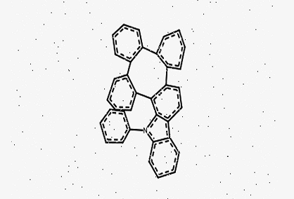 c1ccc(-n2c3ccccc3c3ccc4c(c32)-c2ccccc2-c2ccccc2-c2ccccc2-4)cc1